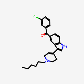 CCCCCCN1CC=C(c2c[nH]c3ccc(C(=O)c4cccc(Cl)c4)cc23)CC1